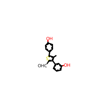 Cc1c(-c2ccc(O)cc2)sc(C=O)c1-c1cccc(O)c1